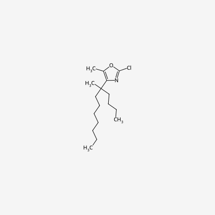 CCCCCCCC(C)(CCCC)c1nc(Cl)oc1C